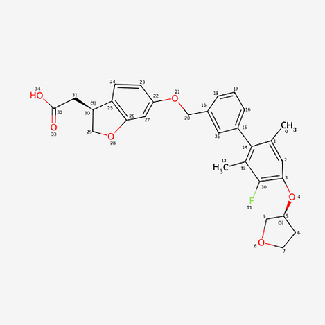 Cc1cc(O[C@H]2CCOC2)c(F)c(C)c1-c1cccc(COc2ccc3c(c2)OC[C@H]3CC(=O)O)c1